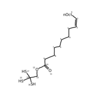 CCCCCCCC/C=C\CCCCCCCC(=O)OCC(S)(S)S